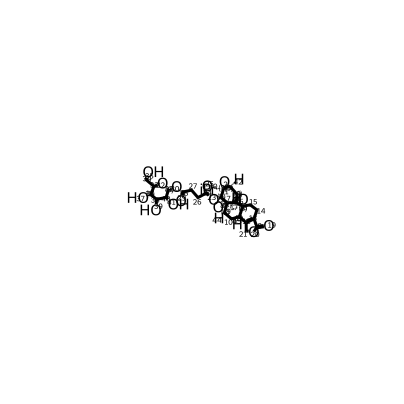 CC(C)[C@]12O[C@H]1[C@@H]1O[C@]13[C@]1(O[C@H]1C[C@H]1C4=C(CC[C@@]13C)C(=O)OC4)[C@@H]2OC(=O)CCC(=O)O[C@@H]1OC(CO)[C@@H](O)C(O)C1O